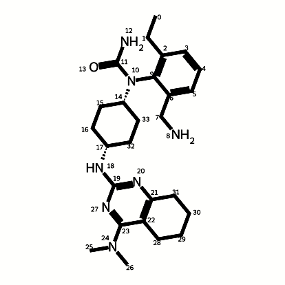 CCc1cccc(CN)c1N(C(N)=O)[C@H]1CC[C@@H](Nc2nc3c(c(N(C)C)n2)CCCC3)CC1